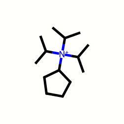 CC(C)[N+](C(C)C)(C(C)C)C1CCCC1